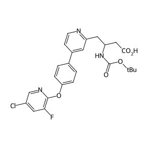 CC(C)(C)OC(=O)NC(CC(=O)O)Cc1cc(-c2ccc(Oc3ncc(Cl)cc3F)cc2)ccn1